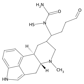 CN1CC(C(CCC=O)N(S)C(N)=O)C[C@@H]2c3cccc4[nH]cc(c34)C[C@H]21